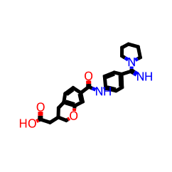 N=C(c1ccc(NC(=O)c2ccc3c(c2)OCC(CC(=O)O)C3)cc1)N1CCCCC1